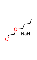 CCCCOCC=O.[NaH]